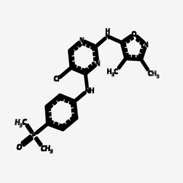 Cc1noc(Nc2ncc(Cl)c(Nc3ccc(P(C)(C)=O)cc3)n2)c1C